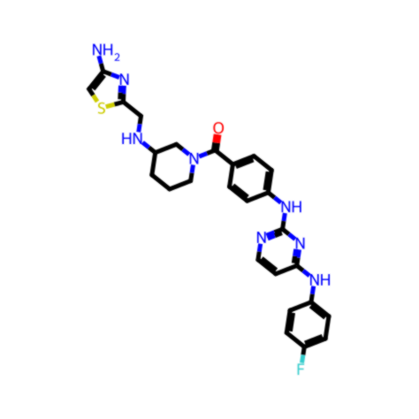 Nc1csc(CNC2CCCN(C(=O)c3ccc(Nc4nccc(Nc5ccc(F)cc5)n4)cc3)C2)n1